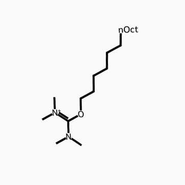 CCCCCCCCCCCCCCOC(N(C)C)=[N+](C)C